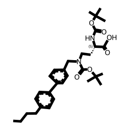 CCCCc1ccc(-c2ccc(CN(CC[C@H](NC(=O)OC(C)(C)C)C(=O)O)C(=O)OC(C)(C)C)cc2)cc1